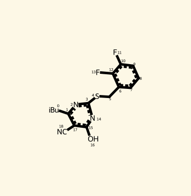 CCC(C)c1nc(SCc2cccc(F)c2F)nc(O)c1C#N